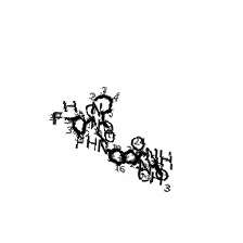 CN1CCCCC1C(=O)N(CC(=O)Nc1ccc2c(c1)CC1(C2)C(=O)NC(=O)N1C)Cc1cc(F)cc(F)c1